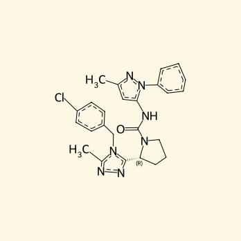 Cc1cc(NC(=O)N2CCC[C@@H]2c2nnc(C)n2Cc2ccc(Cl)cc2)n(-c2ccccc2)n1